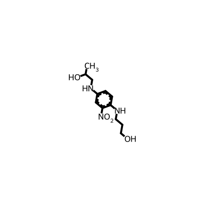 CC(O)CNc1ccc(NCCCO)c([N+](=O)[O-])c1